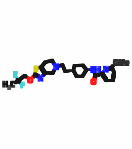 COc1cccc(C(=O)N[C@H]2CC[C@H](CCN3CCc4sc(OCC(C)(F)F)nc4C3)CC2)n1